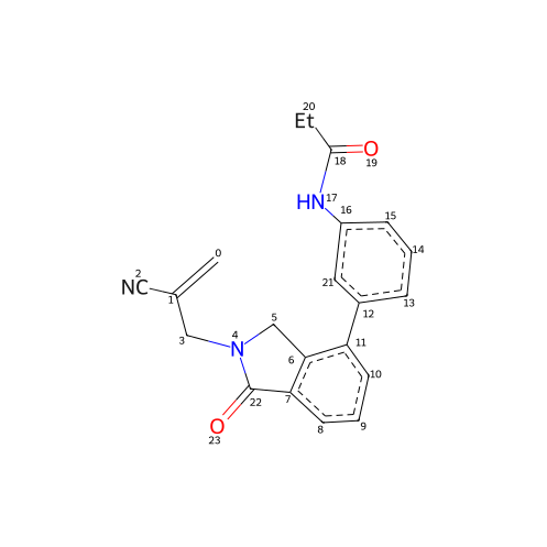 C=C(C#N)CN1Cc2c(cccc2-c2cccc(NC(=O)CC)c2)C1=O